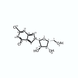 CC(=O)OC[C@H]1O[C@@H](n2cc3c(Cl)nc(Cl)nc3n2)[C@H](O)[C@H]1O